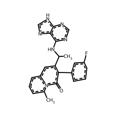 Cc1cccc2cc(C(C)Nc3ncnc4[nH]cnc34)c(-c3cccc(F)c3)c(=O)n12